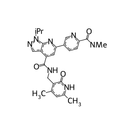 CNC(=O)c1ccc(-c2cc(C(=O)NCc3c(C)cc(C)[nH]c3=O)c3cnn(C(C)C)c3n2)cn1